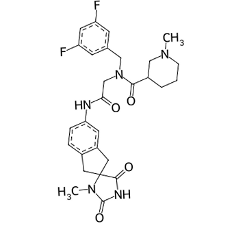 CN1CCCC(C(=O)N(CC(=O)Nc2ccc3c(c2)CC2(C3)C(=O)NC(=O)N2C)Cc2cc(F)cc(F)c2)C1